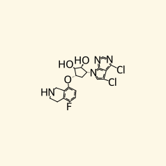 O[C@@H]1[C@H](O)[C@@H](Oc2ccc(F)c3c2CNCC3)C[C@H]1n1cc(Cl)c2c(Cl)ncnc21